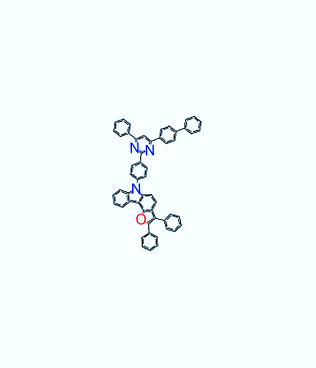 c1ccc(-c2ccc(-c3cc(-c4ccccc4)nc(-c4ccc(-n5c6ccccc6c6c7oc(-c8ccccc8)c(-c8ccccc8)c7ccc65)cc4)n3)cc2)cc1